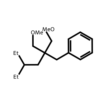 CCC(CC)CC(COC)(COC)Cc1ccccc1